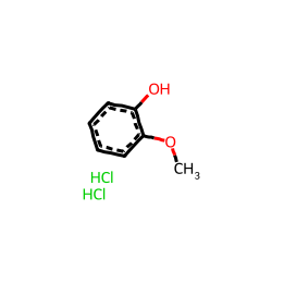 COc1ccccc1O.Cl.Cl